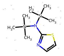 C[Si](C)(C)N(c1nccs1)[Si](C)(C)C